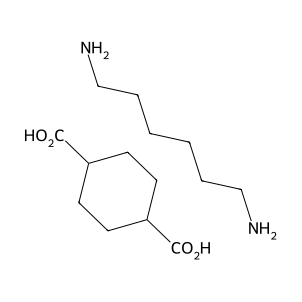 NCCCCCCN.O=C(O)C1CCC(C(=O)O)CC1